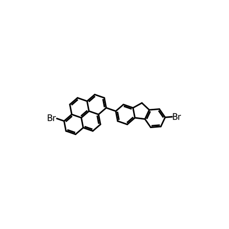 Brc1ccc2c(c1)Cc1cc(-c3ccc4ccc5c(Br)ccc6ccc3c4c65)ccc1-2